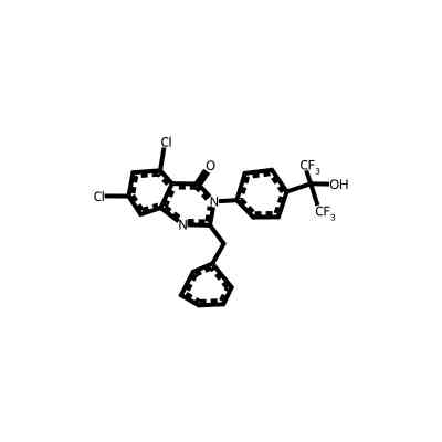 O=c1c2c(Cl)cc(Cl)cc2nc(Cc2ccccc2)n1-c1ccc(C(O)(C(F)(F)F)C(F)(F)F)cc1